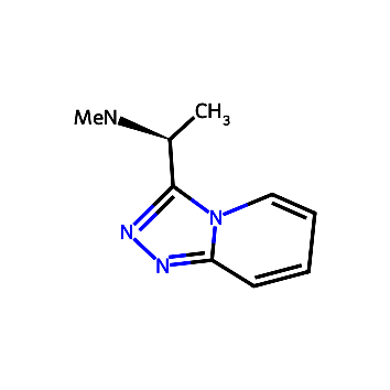 CN[C@@H](C)c1nnc2ccccn12